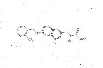 COC(=O)C(Br)Cc1cnc2cc(OCc3ccccc3C(F)(F)F)ccc2c1